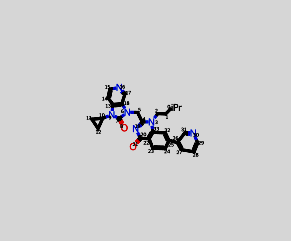 CC(C)CCn1c(Cn2c(=O)n(C3CC3)c3ccncc32)nc(=O)c2ccc(-c3cccnc3)cc21